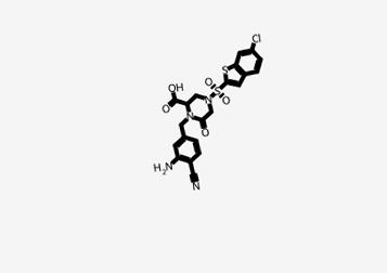 N#Cc1ccc(CN2C(=O)CN(S(=O)(=O)c3cc4ccc(Cl)cc4s3)CC2C(=O)O)cc1N